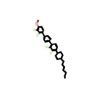 CCCCCCCC1CCC(c2ccc(-c3ccc(-c4ccc(OC)c(F)c4F)cc3)c(F)c2F)CC1